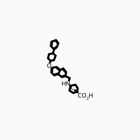 O=C(O)C12CCC(NCc3ccc4cc(OC5CCC(c6ccccc6)CC5)ccc4c3)(CC1)CC2